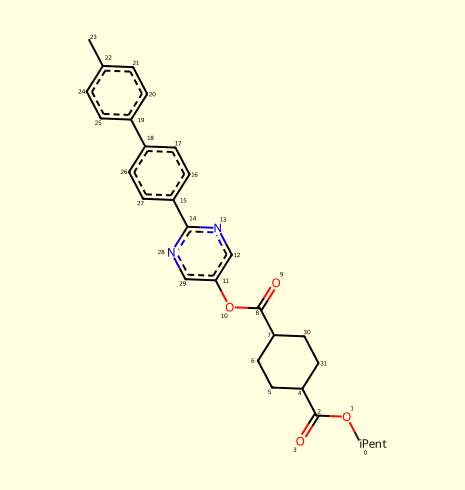 [CH2+][C-](CCC)OC(=O)C1CCC(C(=O)Oc2cnc(-c3ccc(-c4ccc(C)cc4)cc3)nc2)CC1